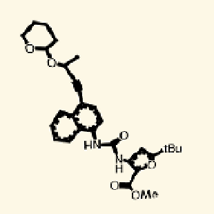 COC(=O)c1oc(C(C)(C)C)cc1NC(=O)Nc1ccc(C#CC(C)OC2CCCCO2)c2ccccc12